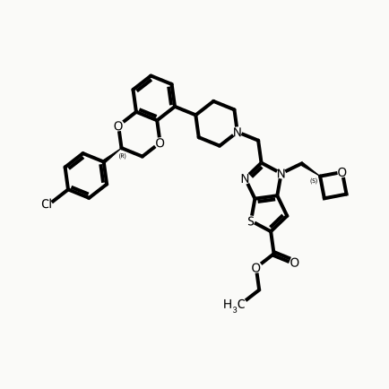 CCOC(=O)c1cc2c(nc(CN3CCC(c4cccc5c4OC[C@@H](c4ccc(Cl)cc4)O5)CC3)n2C[C@@H]2CCO2)s1